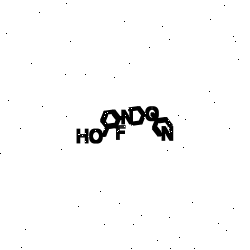 OCc1cccc(N2CCC(Oc3ccncc3)CC2)c1F